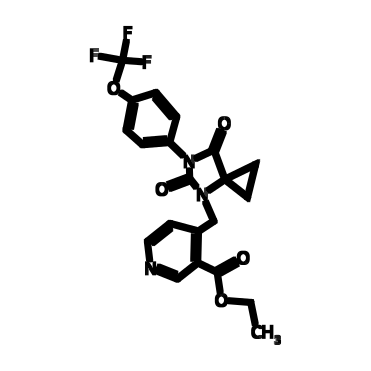 CCOC(=O)c1cnccc1CN1C(=O)N(c2ccc(OC(F)(F)F)cc2)C(=O)C12CC2